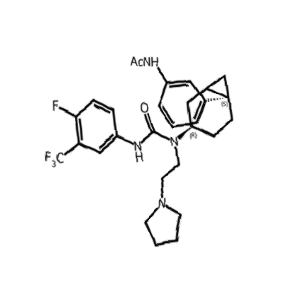 CC(=O)Nc1cccc([C@]23CC[C@@H](N(CCN4CCCC4)C(=O)Nc4ccc(F)c(C(F)(F)F)c4)CC2C3)c1